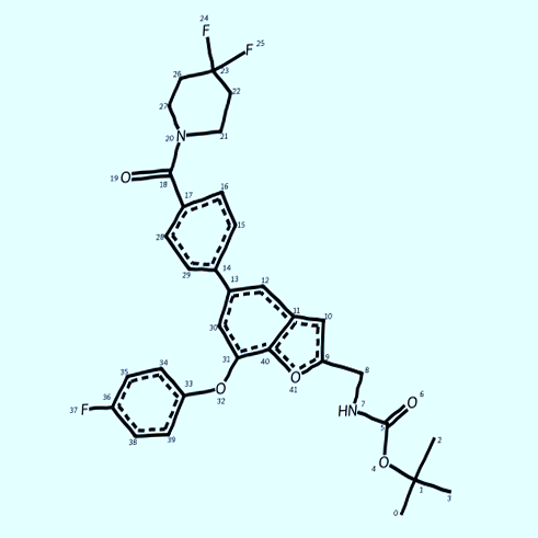 CC(C)(C)OC(=O)NCc1cc2cc(-c3ccc(C(=O)N4CCC(F)(F)CC4)cc3)cc(Oc3ccc(F)cc3)c2o1